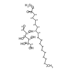 CCCCCCCCCCCCCCCCCC(=O)OC.O=C[C@H](O)[C@@H](O)[C@H](O)[C@H](O)CO